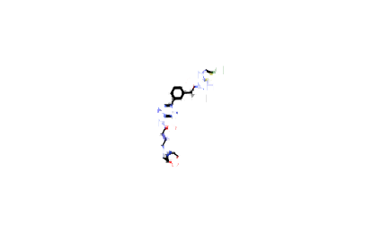 C[C@H](C(=O)Nc1ncc(Cl)s1)c1cccc(-c2cnc(NC(=O)/C=C/CN3CC4CC3CO4)cn2)c1